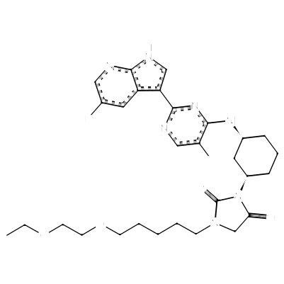 CCOCCOCCCCCN1CC(=O)N([C@@H]2CCC[C@H](Nc3nc(-c4c[nH]c5ncc(F)cc45)ncc3F)C2)C1=O